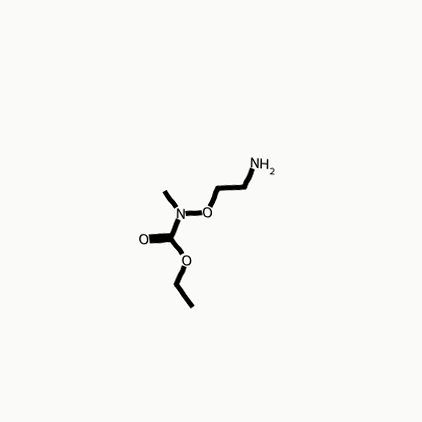 CCOC(=O)N(C)OCCN